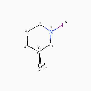 C[C@H]1CCCN(I)C1